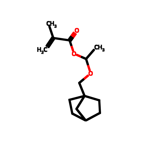 C=C(C)C(=O)OC(C)OCC12CCC(CC1)C2